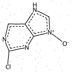 [O-][n+]1c[nH]c2cnc(Cl)nc21